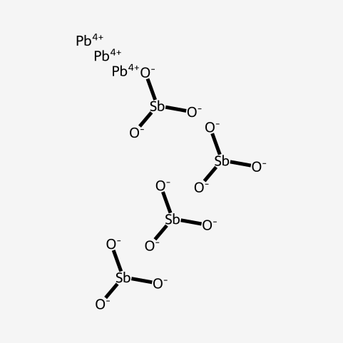 [O-][Sb]([O-])[O-].[O-][Sb]([O-])[O-].[O-][Sb]([O-])[O-].[O-][Sb]([O-])[O-].[Pb+4].[Pb+4].[Pb+4]